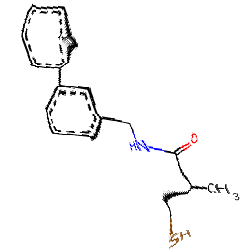 CC(CS)C(=O)NCc1cccc(-c2ccccc2)c1